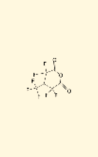 O=C1OC(=O)C(F)(F)C(C(F)(F)F)C1(F)F